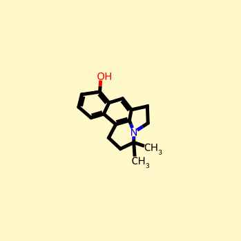 CC1(C)CCc2c3c(cc4c(O)cccc24)CCN31